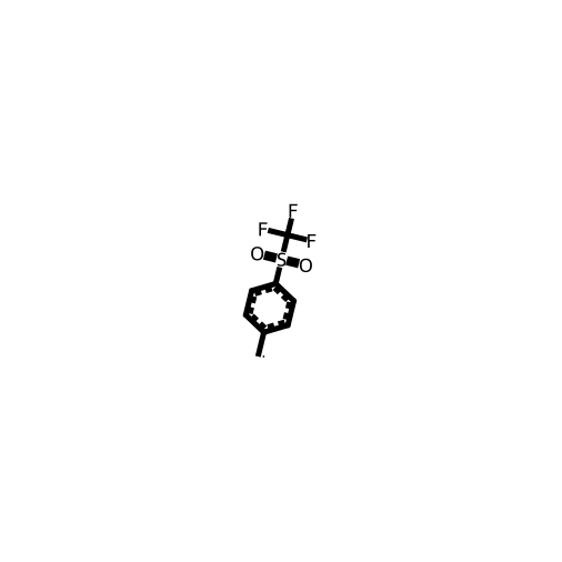 [CH2]c1ccc(S(=O)(=O)C(F)(F)F)cc1